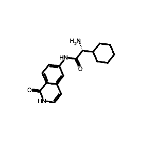 N[C@@H](C(=O)Nc1ccc2c(=O)[nH]ccc2c1)C1CCCCC1